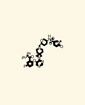 CC(C)N(C(=O)c1cc(F)ccc1Oc1cncnc1N1CC2(CCN(C[C@@H]3CC[C@@H](NS(=O)(=O)c4ccc(=O)n(C)c4)CO3)CC2)C1)C(C)C